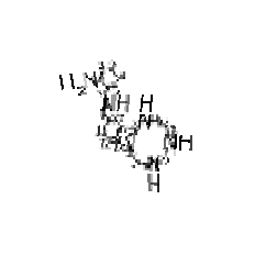 Nc1ccccc1CNCc1ccc(CN2CCCNCCNCCCNCC2)cc1